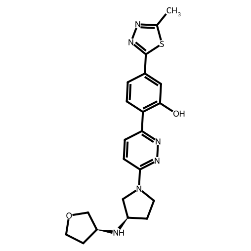 Cc1nnc(-c2ccc(-c3ccc(N4CC[C@@H](N[C@H]5CCOC5)C4)nn3)c(O)c2)s1